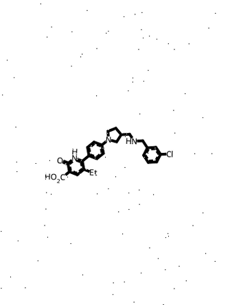 CCc1cc(C(=O)O)c(=O)[nH]c1-c1ccc(N2CCC(CNCc3cccc(Cl)c3)C2)cc1